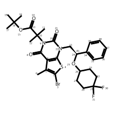 Cc1c(Br)sc2c1c(=O)n(C(C)(C)C(=O)OC(C)(C)C)c(=O)n2C[C@H](OC1CCC(F)(F)CC1)c1ccccc1